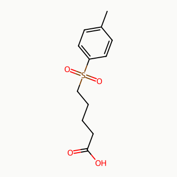 Cc1ccc(S(=O)(=O)CCCCC(=O)O)cc1